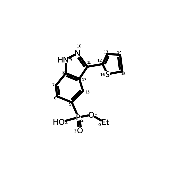 CCOP(=O)(O)c1ccc2[nH]nc(-c3cccs3)c2c1